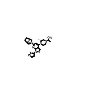 CC(O)N1CCN(C2=CC(N3CC4CCC(C3)O4)=NC3C2C=NN3c2cc[nH]n2)[C@H](C)C1